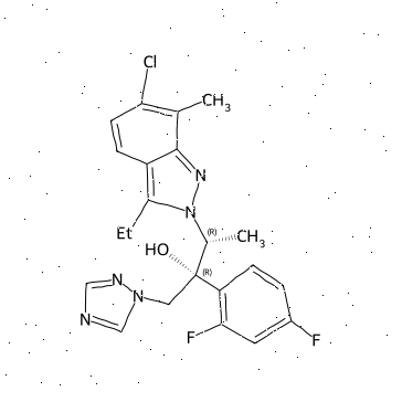 CCc1c2ccc(Cl)c(C)c2nn1[C@H](C)[C@](O)(Cn1cncn1)c1ccc(F)cc1F